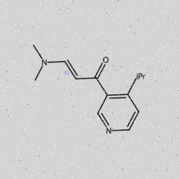 CC(C)c1ccncc1C(=O)/C=C/N(C)C